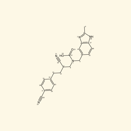 Cc1nc2cc(CN(CC(C#N)CCc3ccc(C#N)cc3)C(=O)O)ccc2[nH]1